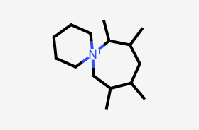 CC1CC(C)C(C)[N+]2(CCCCC2)CC1C